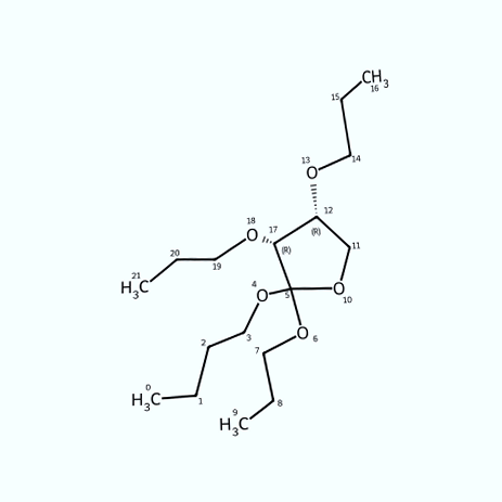 CCCCOC1(OCCC)OC[C@@H](OCCC)[C@H]1OCCC